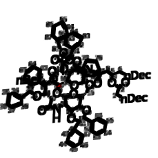 CCCCCCCCCCCC(=O)O[C@H](CCCCCCCCCCC)CC(=O)N[C@@H]1[C@H](OC[C@H]2O[C@H](OCCO)[C@@H](NC(=O)C[C@@H](CCCCCCCCCCC)OCc3ccccc3)[C@@H](OCc3ccccc3)[C@@H]2OCc2ccccc2)O[C@H](COCc2ccccc2)[C@@H](OP(=O)(OCc2ccccc2)OCc2ccccc2)[C@@H]1OCc1ccccc1